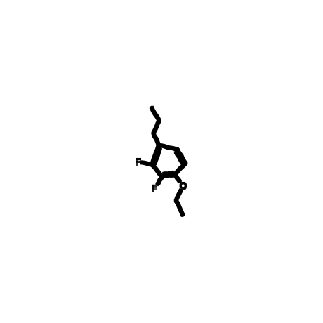 CCCc1ccc(OCC)c(F)c1F